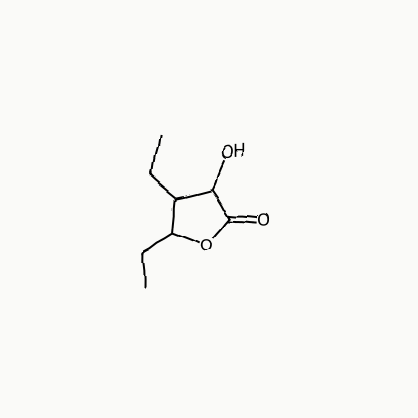 CCC1OC(=O)C(O)C1CC